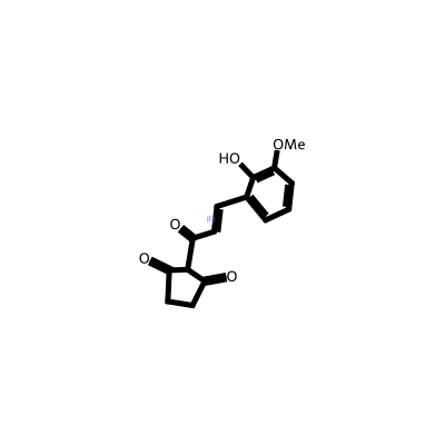 COc1cccc(/C=C/C(=O)C2C(=O)CCC2=O)c1O